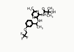 Cc1cnc(NC(C)c2cccc(OCC(F)(F)F)c2)c(NC(=O)C(C)(C)O)n1